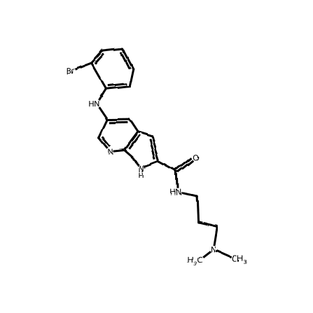 CN(C)CCCNC(=O)c1cc2cc(Nc3ccccc3Br)cnc2[nH]1